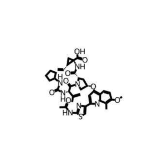 C=C[C@@H]1C[C@]1(NC(=O)[C@@H]1C[C@@H](Oc2cc(-c3csc(NC(C)=O)n3)nc3c(C)c(OC)ccc23)CN1C(=O)[C@@H](NC(=O)NC1CCCC1)C(=C)C)C(=O)O